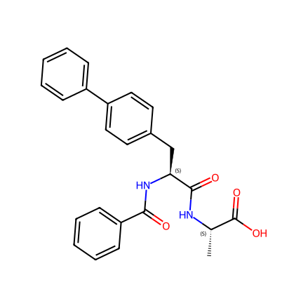 C[C@H](NC(=O)[C@H](Cc1ccc(-c2ccccc2)cc1)NC(=O)c1ccccc1)C(=O)O